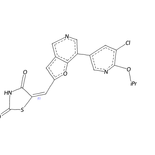 CC(C)Oc1ncc(-c2cncc3cc(/C=C4/SC(=O)NC4=O)oc23)cc1Cl